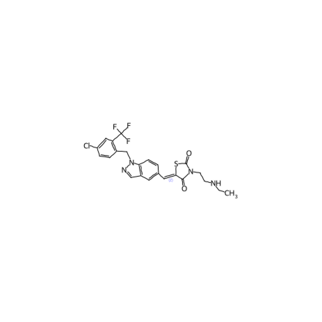 CCNCCN1C(=O)S/C(=C\c2ccc3c(cnn3Cc3ccc(Cl)cc3C(F)(F)F)c2)C1=O